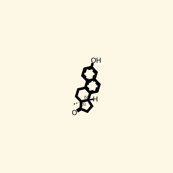 C[C@]12CCc3c(ccc4cc(O)ccc34)[C@@H]1CCC2=O